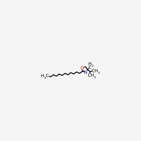 CCCCCCCCCCCCC1=NC(C)(C(C)C)CO1